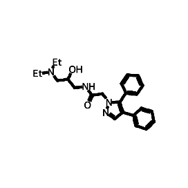 CCN(CC)CC(O)CNC(=O)Cn1ncc(-c2ccccc2)c1-c1ccccc1